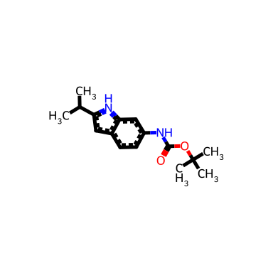 CC(C)c1cc2ccc(NC(=O)OC(C)(C)C)cc2[nH]1